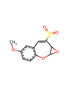 COc1ccc2c(c1)C=C([SH](=O)=O)C1OC1O2